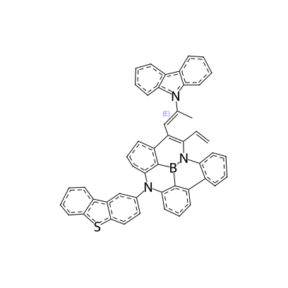 C=CC1=C(/C=C(\C)n2c3ccccc3c3ccccc32)c2cccc3c2B2c4c(cccc4N3c3ccc4sc5ccccc5c4c3)-c3ccccc3N21